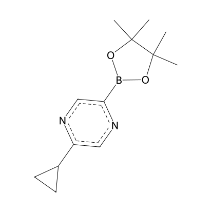 CC1(C)OB(c2cnc(C3CC3)cn2)OC1(C)C